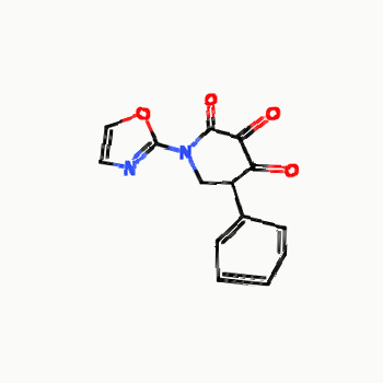 O=C1C(=O)C(c2ccccc2)CN(c2ncco2)C1=O